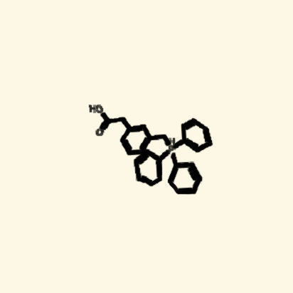 O=C(O)Cc1cccc(C[PH](c2ccccc2)(c2ccccc2)c2ccccc2)c1